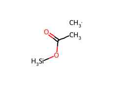 CC(=O)O[SiH3].[CH3]